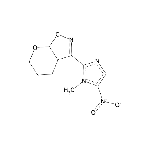 Cn1c([N+](=O)[O-])cnc1C1=NOC2OCCCC12